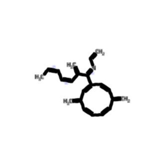 C=C/N=C(\C(=C)/C=C\C=C/C)c1ccc(=C)ccccc(=C)c1